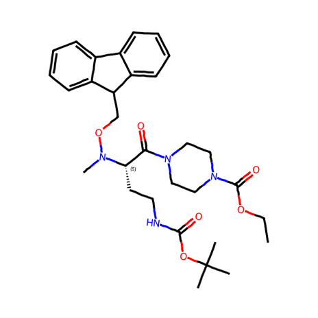 CCOC(=O)N1CCN(C(=O)[C@H](CCNC(=O)OC(C)(C)C)N(C)OCC2c3ccccc3-c3ccccc32)CC1